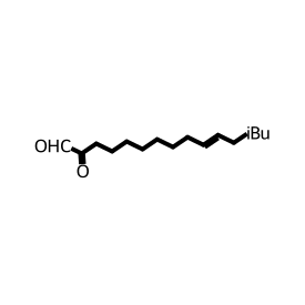 CCC(C)CC=CCCCCCCCC(=O)C=O